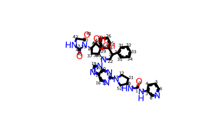 O=C(Nc1cccnc1)N[C@@H]1CCN(c2ncc3ncn(N(CC(c4ccccc4)c4ccccc4)[C@@H]4C[C@H](N5C(=O)CNC5=O)[C@@H](O)[C@H]4O)c3n2)C1